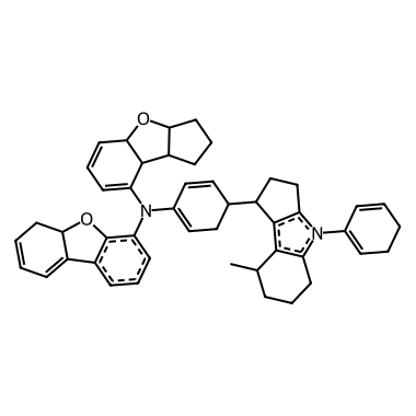 CC1CCCc2c1c1c(n2C2=CCCC=C2)CCC1C1C=CC(N(C2=CC=CC3OC4CCCC4C23)c2cccc3c2OC2CC=CC=C32)=CC1